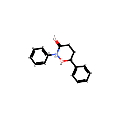 O=C1CCC(c2ccccc2)ON1c1ccccc1